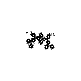 Cc1ccc(N(c2ccc([Si](c3ccccc3)(c3ccccc3)c3ccc(N(c4ccc(C)cc4)c4ccc5c(c4)c4ccccc4n5-c4ccccc4)cn3)nc2)c2ccc3c(c2)c2ccccc2n3-c2ccccc2)cc1